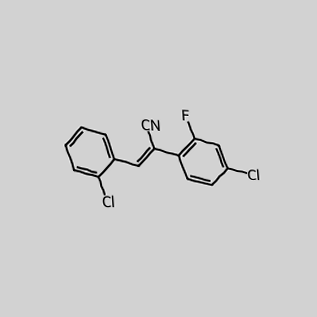 N#C/C(=C\c1ccccc1Cl)c1ccc(Cl)cc1F